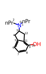 CCCN(CCC)C1Cc2cccc(O)c2C1